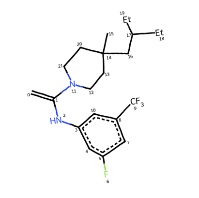 C=C(Nc1cc(F)cc(C(F)(F)F)c1)N1CCC(C)(CC(CC)CC)CC1